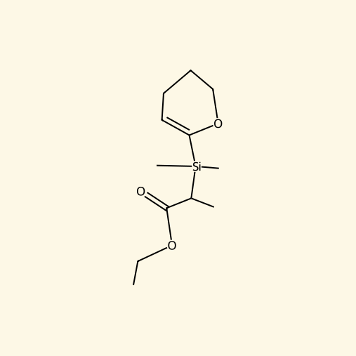 CCOC(=O)C(C)[Si](C)(C)C1=CCCCO1